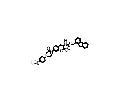 COC1CCC(N2CCN(c3ccc(CC(NC(=O)OCc4cccc5c4Cc4ccccc4-5)C(=O)O)cc3)C(=O)C2)CC1